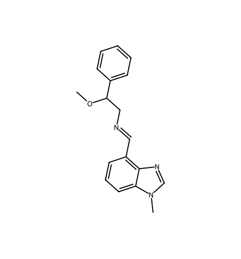 COC(CN=Cc1cccc2c1ncn2C)c1ccccc1